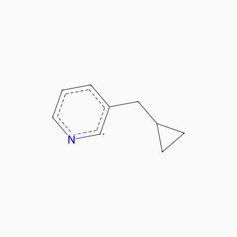 [c]1ncccc1CC1CC1